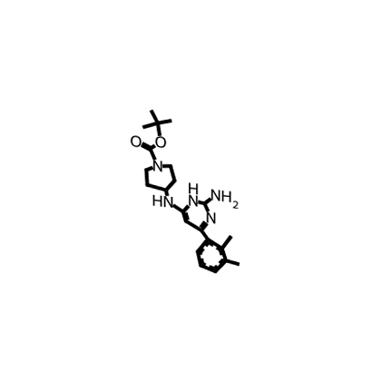 Cc1cccc(C2=NC(N)NC(NC3CCN(C(=O)OC(C)(C)C)CC3)=C2)c1C